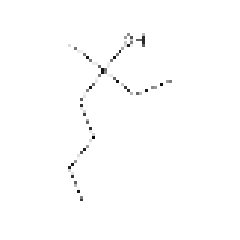 [CH2]C(O)(CC)CCCC